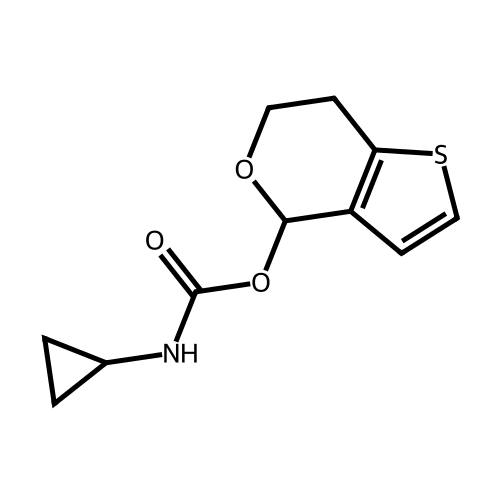 O=C(NC1CC1)OC1OCCc2sccc21